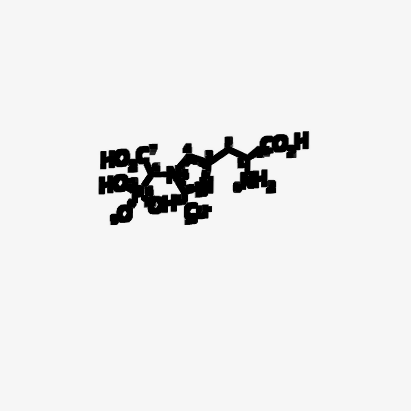 N[C@@H](Cc1cn(C(C(=O)O)P(=O)(O)O)cn1)C(=O)O.[Cu]